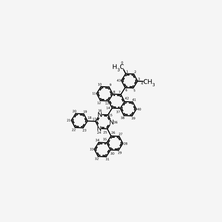 Cc1cc(C)cc(-c2c3ccccc3c(-c3nc(-c4ccccc4)nc(-c4cccc5ccccc45)n3)c3ccccc23)c1